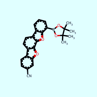 CC1(C)OB(c2cccc3c2oc2c3ccc3c4ccc(C#N)cc4oc32)OC1(C)C